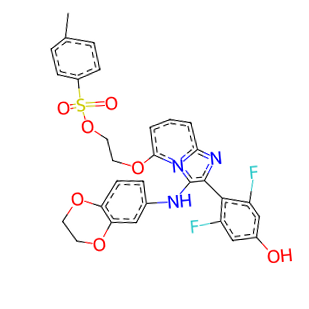 Cc1ccc(S(=O)(=O)OCCOc2cccc3nc(-c4c(F)cc(O)cc4F)c(Nc4ccc5c(c4)OCCO5)n23)cc1